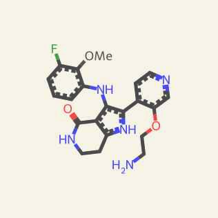 COc1c(F)cccc1Nc1c(-c2ccncc2OCCN)[nH]c2c1C(=O)NCC2